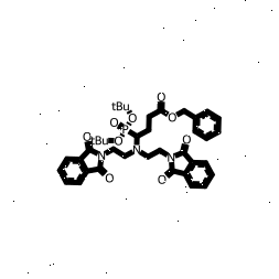 CC(C)(C)OP(=O)(OC(C)(C)C)C(CCC(=O)OCc1ccccc1)N(CCN1C(=O)c2ccccc2C1=O)CCN1C(=O)c2ccccc2C1=O